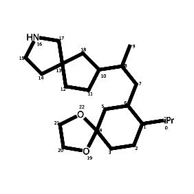 CC(C)C1CCC2(CC1CC(C)C1CCC3(CCNC3)C1)OCCO2